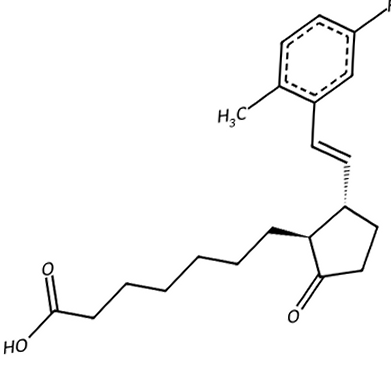 Cc1ccc(F)cc1C=C[C@@H]1CCC(=O)[C@H]1CCCCCCC(=O)O